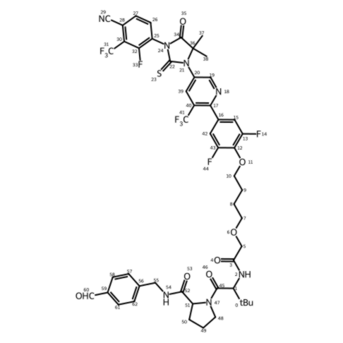 CC(C)(C)C(NC(=O)COCCCCOc1c(F)cc(-c2ncc(N3C(=S)N(c4ccc(C#N)c(C(F)(F)F)c4F)C(=O)C3(C)C)cc2C(F)(F)F)cc1F)C(=O)N1CCCC1C(=O)NCc1ccc(C=O)cc1